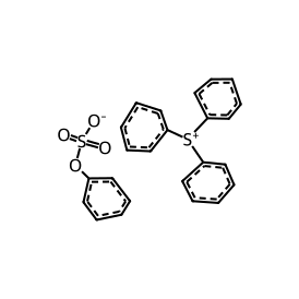 O=S(=O)([O-])Oc1ccccc1.c1ccc([S+](c2ccccc2)c2ccccc2)cc1